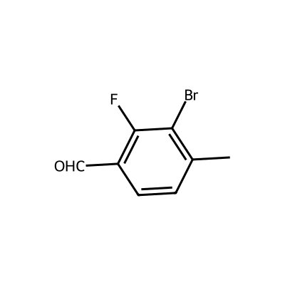 Cc1ccc(C=O)c(F)c1Br